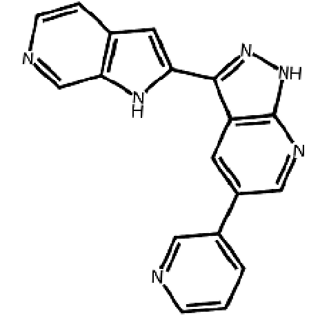 c1cncc(-c2cnc3[nH]nc(-c4cc5ccncc5[nH]4)c3c2)c1